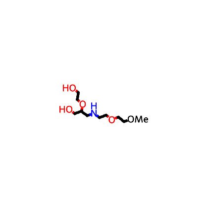 COCCOCCNCC(CO)OCCO